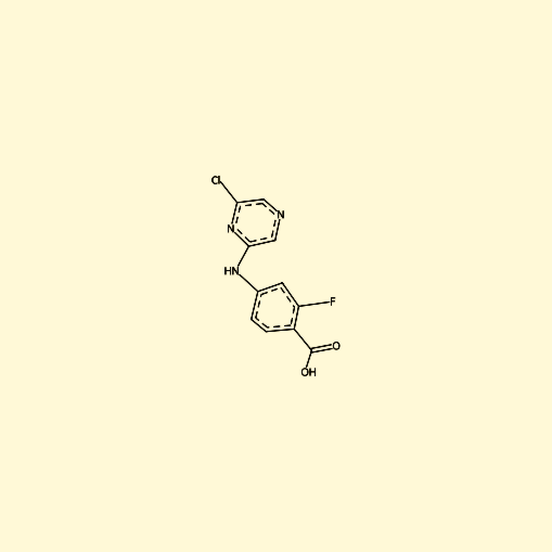 O=C(O)c1ccc(Nc2cncc(Cl)n2)cc1F